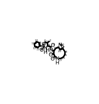 CC(C)C(NS(=O)(=O)c1ccccc1)C(=O)NC1Cc2cc(sn2)CCCCNC(=O)C1=O